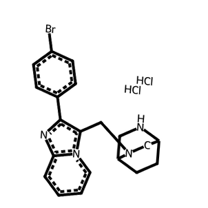 Brc1ccc(-c2nc3ccccn3c2CN2CC3CCC2CN3)cc1.Cl.Cl